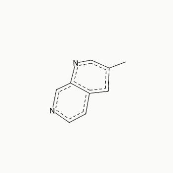 Cc1cnc2cnccc2c1